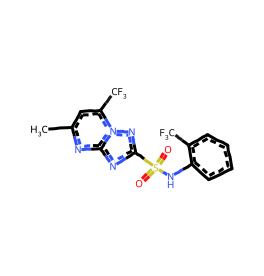 Cc1cc(C(F)(F)F)n2nc(S(=O)(=O)Nc3ccccc3C(F)(F)F)nc2n1